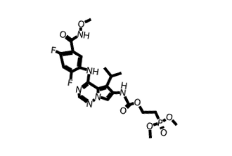 CONC(=O)c1cc(Nc2ncnn3cc(NC(=O)OCCP(=O)(OC)OC)c(C(C)C)c23)c(F)cc1F